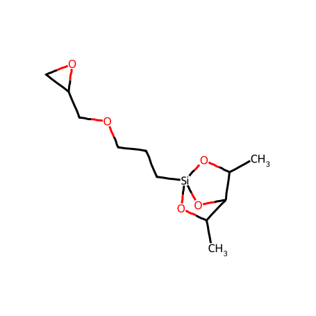 CC1O[Si]2(CCCOCC3CO3)OC(C)C1O2